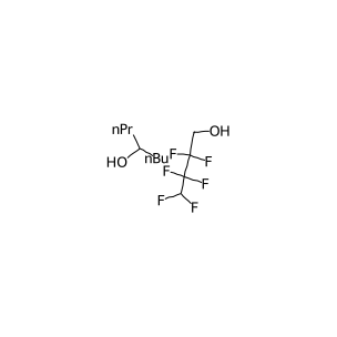 CCCCC(O)CCC.OCC(F)(F)C(F)(F)C(F)F